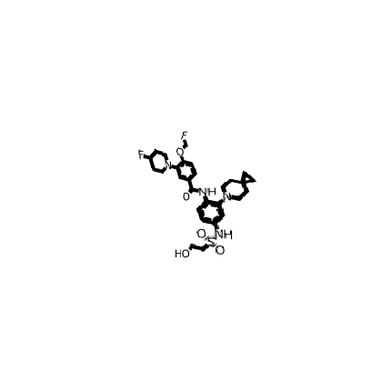 O=C(Nc1ccc(NS(=O)(=O)CCO)cc1N1CCC2(CC1)CC2)c1ccc(OCF)c(N2CCC(F)CC2)c1